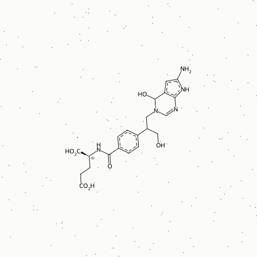 Nc1cc2c([nH]1)N=CN(CC(CO)c1ccc(C(=O)N[C@@H](CCC(=O)O)C(=O)O)cc1)C2O